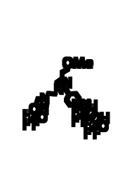 COCCc1cn(CCN2CCCC2)c(C2CCNCC2)n1.O=C(O)C(F)(F)F.O=C(O)C(F)(F)F.O=C(O)C(F)(F)F